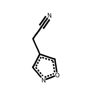 N#CCc1cnoc1